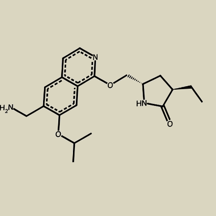 CC[C@@H]1C[C@@H](COc2nccc3cc(CN)c(OC(C)C)cc23)NC1=O